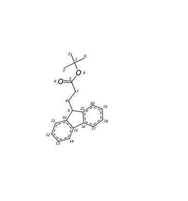 CC(C)(C)OC(=O)CCC1c2ccccc2-c2ccccc21